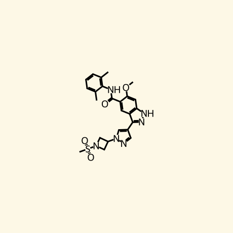 COc1cc2[nH]nc(-c3cnn(C4CN(S(C)(=O)=O)C4)c3)c2cc1C(=O)Nc1c(C)cccc1C